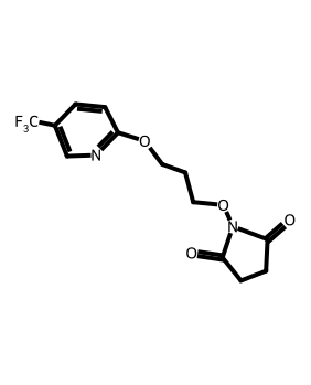 O=C1CCC(=O)N1OCCCOc1ccc(C(F)(F)F)cn1